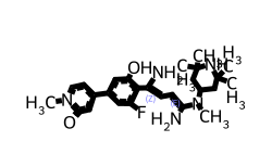 CN(/C(N)=C/C=C(\N)c1c(O)cc(-c2ccn(C)c(=O)c2)cc1F)C1CC(C)(C)NC(C)(C)C1